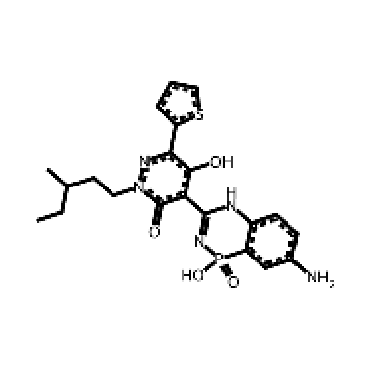 CCC(C)CCn1nc(-c2cccs2)c(O)c(C2=NP(=O)(O)c3cc(N)ccc3N2)c1=O